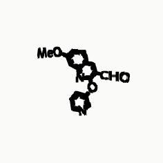 COc1ccc2cc(C=O)c(Oc3cccnc3)nc2c1